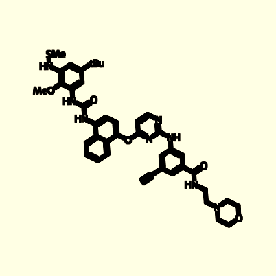 C#Cc1cc(Nc2nccc(Oc3ccc(NC(=O)Nc4cc(C(C)(C)C)cc(NSC)c4OC)c4ccccc34)n2)cc(C(=O)NCCN2CCOCC2)c1